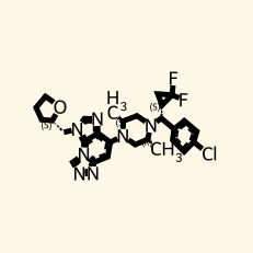 C[C@@H]1CN(c2cc3nncn3c3c2ncn3C[C@@H]2CCCO2)[C@@H](C)CN1C(c1ccc(Cl)cc1)[C@@H]1CC1(F)F